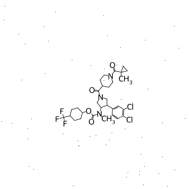 CN(C(=O)OC1CCC(C(F)(F)F)CC1)C1CN(C(=O)C2CCN(C(=O)C3(C)CC3)CC2)CC1c1ccc(Cl)c(Cl)c1